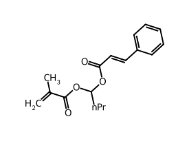 C=C(C)C(=O)OC(CCC)OC(=O)C=Cc1ccccc1